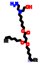 CC/C=C\CCCCOC(CCC(=O)OCCCCCCN(CCN)CCO)OCCCC/C=C\CC